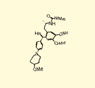 CNC(=O)N[C@@H](C)Cc1cc(OC)c(OC)cc1C(=N)c1ccc(N2CCC(OC)CC2)cc1